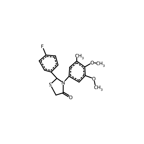 COc1cc(N2C(=O)CSC2c2ccc(F)cc2)cc(C)c1OC